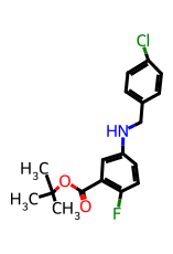 CC(C)(C)OC(=O)c1cc(NCc2ccc(Cl)cc2)ccc1F